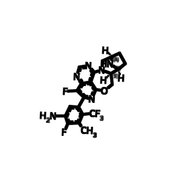 Cc1c(F)c(N)cc(-c2nc3c4c(ncnc4c2F)N2C[C@H]4CC[C@H](N4)[C@H]2CO3)c1C(F)(F)F